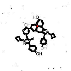 Oc1ccc(-c2nn(C3CCC3)c(-c3ccc(O)cc3)c2Cc2ccccc2)cc1.Oc1ccc(-c2nn(C3CCC3)c(-c3ccc(O)cc3)c2I)cc1